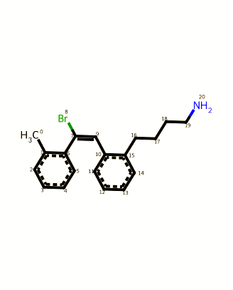 Cc1ccccc1/C(Br)=C\c1ccccc1CCCCN